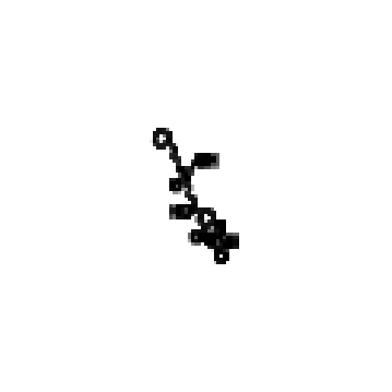 O=C1Cn2c(nc3ccc(C(O)CCCC(=O)N(CCO)CCCCC4CCCCC4)cc3c2=O)N1